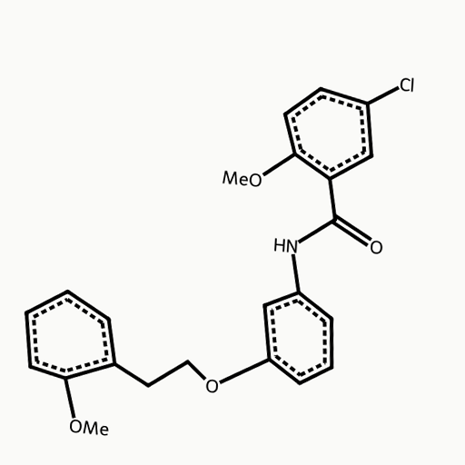 COc1ccccc1CCOc1cccc(NC(=O)c2cc(Cl)ccc2OC)c1